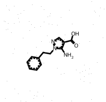 Nc1c(C(=O)O)cnn1CCc1ccccc1